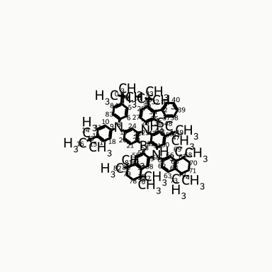 CC(C)(C)c1ccc(N(c2ccc(C(C)(C)C)cc2)c2ccc3c(c2)N(c2ccc(C(C)(C)C)c4c2sc2ccccc24)c2cc(C(C)(C)C)cc4c2B3c2cc3c(cc2N4c2ccc4c(c2)C(C)(C)CCC4(C)C)C(C)(C)CCC3(C)C)cc1